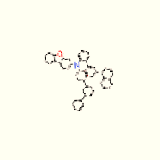 c1ccc(-c2cccc(-c3ccc(N(c4ccc5c(c4)oc4ccccc45)c4ccccc4-c4cccc(-c5cccc6ccccc56)c4)cc3)c2)cc1